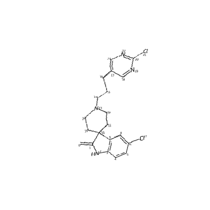 C=C1Nc2ccc(Cl)cc2C12CCN(CCCc1cnc(Cl)nc1)CC2